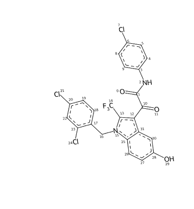 O=C(Nc1ccc(Cl)cc1)C(=O)c1c(C(F)(F)F)n(Cc2ccc(Cl)cc2Cl)c2ccc(O)cc12